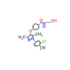 Cc1nn(-c2ccc(C#N)c(Cl)c2)c(C)c1Oc1ccc(C(=O)NCCO)cc1